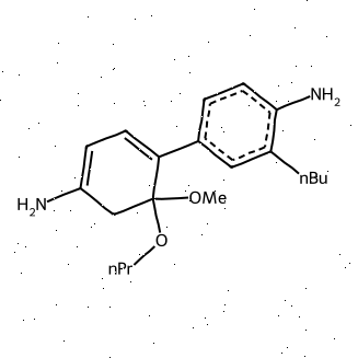 CCCCc1cc(C2=CC=C(N)CC2(OC)OCCC)ccc1N